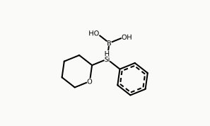 OB(O)[SiH](c1ccccc1)C1CCCCO1